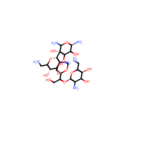 NCC1O[C@H](OC(CO)[C@@H](CO)OCOC2C(O)[C@H](N)OC(N)[C@]2(O)[C@H]2OC(CN)[C@@H](O)C(O)C2N)C(N)C(O)[C@@H]1O